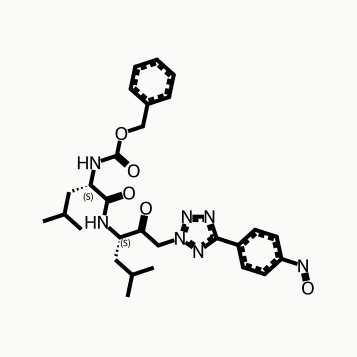 CC(C)C[C@H](NC(=O)[C@H](CC(C)C)NC(=O)OCc1ccccc1)C(=O)Cn1nnc(-c2ccc(N=O)cc2)n1